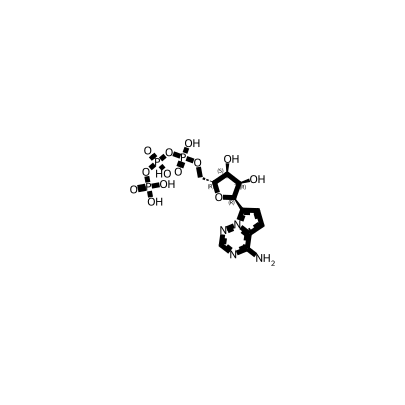 Nc1ncnn2c([C@H]3O[C@H](COP(=O)(O)OP(=O)(O)OP(=O)(O)O)[C@@H](O)[C@H]3O)ccc12